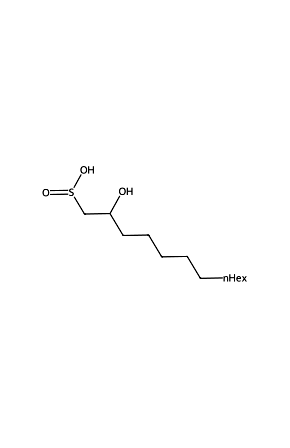 CCCCCCCCCCCC(O)CS(=O)O